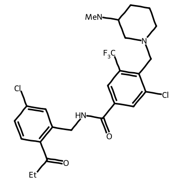 CCC(=O)c1ccc(Cl)cc1CNC(=O)c1cc(Cl)c(CN2CCCC(NC)C2)c(C(F)(F)F)c1